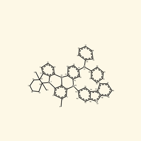 Cc1cc2c3c(c1)N1c4c(cccc4C4(C)CCCCC14C)B3c1ccc(N(c3ccccc3)c3ccccc3)cc1N2c1ccc2oc3ccccc3c2c1